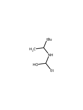 [CH2]C(NC(O)CC)C(C)(C)C